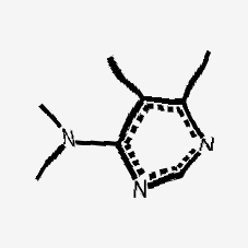 Cc1ncnc(N(C)C)c1C